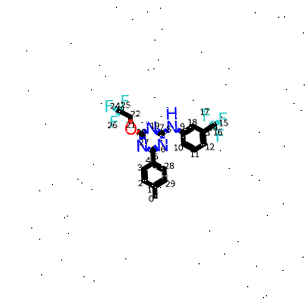 Cc1ccc(-c2nc(Nc3cccc(C(F)(F)F)c3)nc(OCC(F)(F)F)n2)cc1